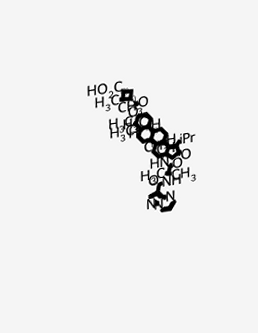 CC(C)C1=C2[C@H]3CC[C@@H]4[C@@]5(C)CC[C@H](OC(=O)[C@H]6C[C@@H](C(=O)O)C6(C)C)C(C)(C)[C@@H]5CC[C@@]4(C)[C@]3(C)CC[C@@]2(NC(=O)C(C)(C)NC(=O)c2cnn3cccnc23)CC1=O